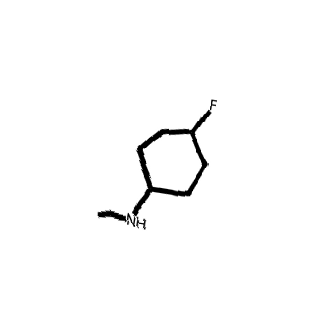 CNC1CCC(F)CC1